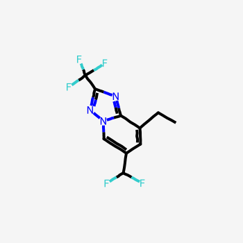 CCc1cc(C(F)F)cn2nc(C(F)(F)F)nc12